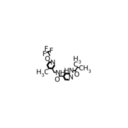 Cc1cc(OCC(F)(F)F)ncc1CNC(=O)c1ccnc(NC(=O)C(C)C)c1